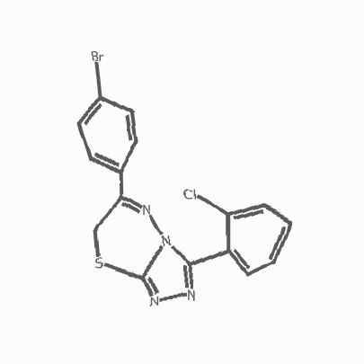 Clc1ccccc1-c1nnc2n1N=C(c1ccc(Br)cc1)CS2